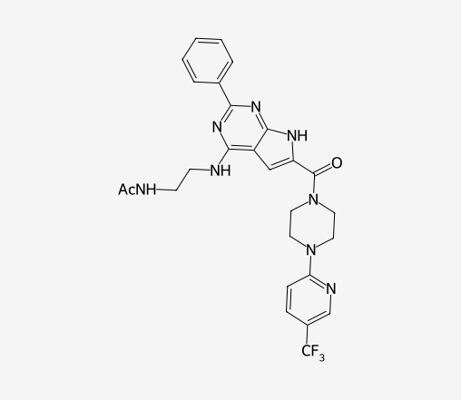 CC(=O)NCCNc1nc(-c2ccccc2)nc2[nH]c(C(=O)N3CCN(c4ccc(C(F)(F)F)cn4)CC3)cc12